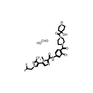 CCc1cc(NC(=O)c2ncc(-c3cn(CC(F)F)nc3C(F)(F)F)n2C)ccc1C(=O)N1CCN(C(=O)C2(O)CCNCC2)CC1.O=CO